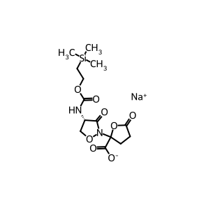 C[Si](C)(C)CCOC(=O)N[C@H]1CON(C2(C(=O)[O-])CCC(=O)O2)C1=O.[Na+]